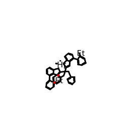 CCc1ccccc1-c1cccc2c1C=C1[CH]2[Hf]([CH3])([CH3])[CH]2C(=Cc3c(-c4ccccc4CC)cccc32)C1(Cc1ccccc1)Cc1ccccc1